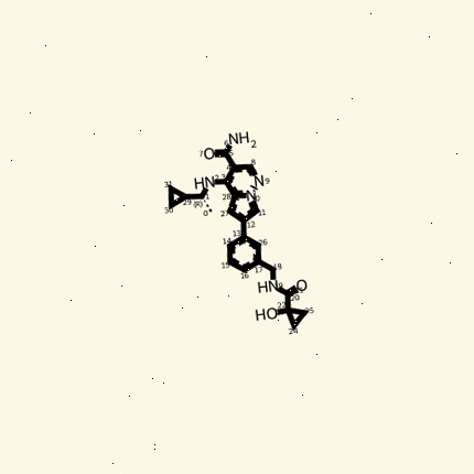 C[C@@H](Nc1c(C(N)=O)cnn2cc(-c3cccc(CNC(=O)C4(O)CC4)c3)cc12)C1CC1